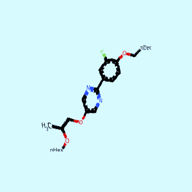 CCCCCCCCCCCOc1ccc(-c2ncc(OCC(C)OCCCCCC)cn2)cc1F